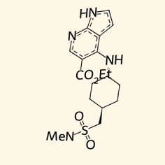 CCOC(=O)c1cnc2[nH]ccc2c1N[C@H]1CC[C@H](CS(=O)(=O)NC)CC1